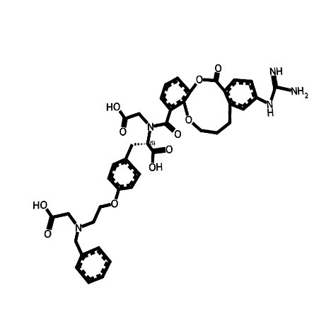 N=C(N)Nc1ccc2c(c1)CCCOc1c(cccc1C(=O)N(CC(=O)O)[C@@H](Cc1ccc(OCCN(CC(=O)O)Cc3ccccc3)cc1)C(=O)O)OC2=O